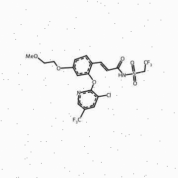 COCCOc1ccc(/C=C/C(=O)NS(=O)(=O)CC(F)(F)F)c(Oc2ncc(C(F)(F)F)cc2Cl)c1